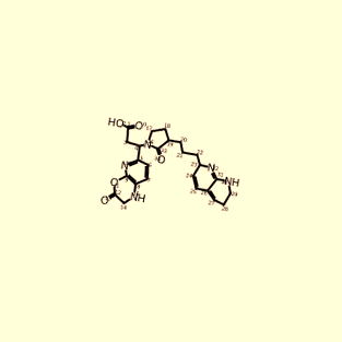 O=C(O)CC(c1ccc2c(n1)OC(=O)CN2)N1CCC(CCCC2C=CC3=CCCNC3=N2)C1=O